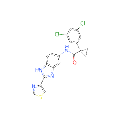 O=C(Nc1ccc2[nH]c(-c3cscn3)nc2c1)C1(c2cc(Cl)cc(Cl)c2)CC1